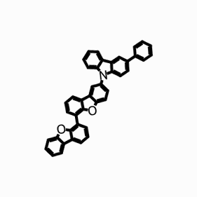 c1ccc(-c2ccc3c(c2)c2ccccc2n3-c2ccc3oc4c(-c5cccc6c5oc5ccccc56)cccc4c3c2)cc1